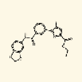 CCOC(=O)c1cc(C)n(-c2cccc(C(=O)Nc3ccc4c(c3)OCO4)c2)n1